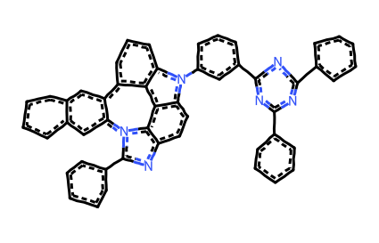 c1ccc(-c2nc(-c3ccccc3)nc(-c3cccc(-n4c5cccc6c7cc8ccccc8cc7n7c(-c8ccccc8)nc8ccc4c(c65)c87)c3)n2)cc1